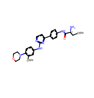 COC[C@H](N)C(=O)Nc1ccc(-c2ccnc(Nc3ccc(N4CCOCC4)c(OC)c3)n2)cc1